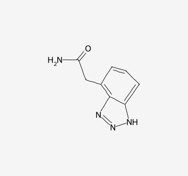 NC(=O)Cc1cccc2[nH]nnc12